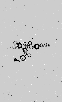 COc1ccc(OC(=O)N(C)[C@@H]2CN(C(=O)C3CCN(CC4CC4)CC3)C[C@H]2c2ccc(Cl)c(Cl)c2)cc1